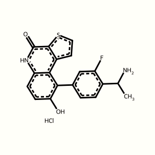 CC(N)c1ccc(-c2c(O)ccc3[nH]c(=O)c4sccc4c23)cc1F.Cl